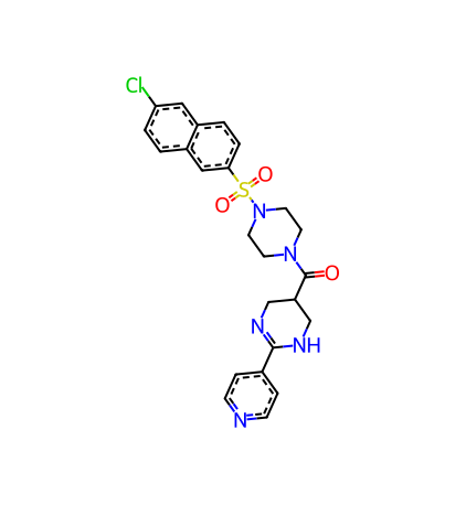 O=C(C1CN=C(c2ccncc2)NC1)N1CCN(S(=O)(=O)c2ccc3cc(Cl)ccc3c2)CC1